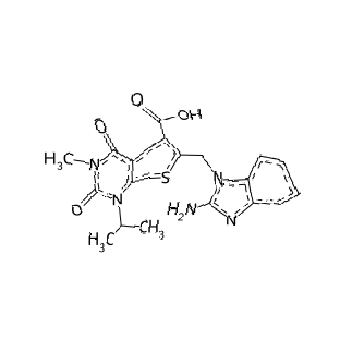 CC(C)n1c(=O)n(C)c(=O)c2c(C(=O)O)c(Cn3c(N)nc4ccccc43)sc21